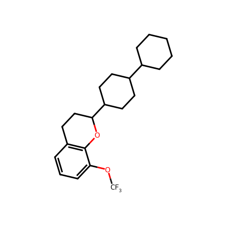 FC(F)(F)Oc1cccc2c1OC(C1CCC(C3CCCCC3)CC1)CC2